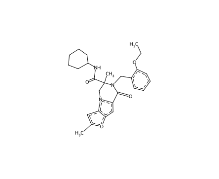 CCOc1ccccc1CN1C(=O)c2cc3oc(C)cc3n2CC1(C)C(=O)NC1CCCCC1